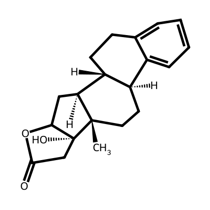 C[C@]12CC[C@@H]3c4ccccc4CC[C@H]3[C@@H]1CC1OC(=O)C[C@@]12O